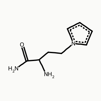 NC(=O)C(N)CCn1cccc1